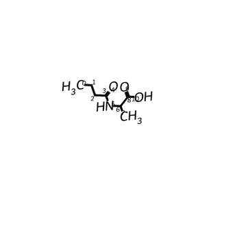 CCCC(=O)NC(C)C(=O)O